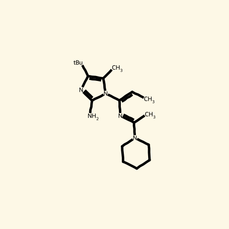 C/C=C(\N=C(/C)N1CCCCC1)n1c(N)nc(C(C)(C)C)c1C